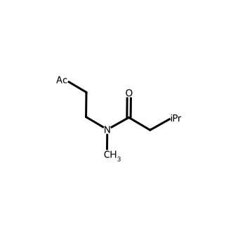 CC(=O)CCN(C)C(=O)CC(C)C